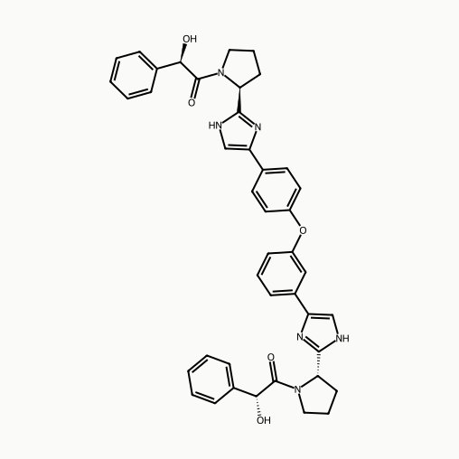 O=C([C@H](O)c1ccccc1)N1CCC[C@H]1c1nc(-c2ccc(Oc3cccc(-c4c[nH]c([C@@H]5CCCN5C(=O)[C@H](O)c5ccccc5)n4)c3)cc2)c[nH]1